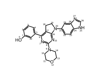 Oc1cccc(-c2nc(N3CCOCC3)nc3c2CCN3c2ccc3[nH]cnc3c2)c1